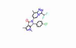 Cc1cn(C)c2c1C(=O)N(c1cc(C)c3nnc(C(F)F)n3c1)C2c1ccc(Cl)cc1